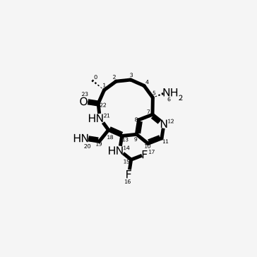 C[C@@H]1CCC[C@H](N)c2cc(ccn2)/C(NC(F)F)=C(/C=N)NC1=O